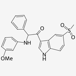 COc1cccc(NC(C(=O)c2c[nH]c3ccc(S(C)(=O)=O)cc23)c2ccccc2)c1